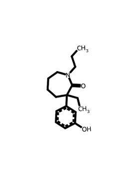 CCCN1CCCCC(CC)(c2cccc(O)c2)C1=O